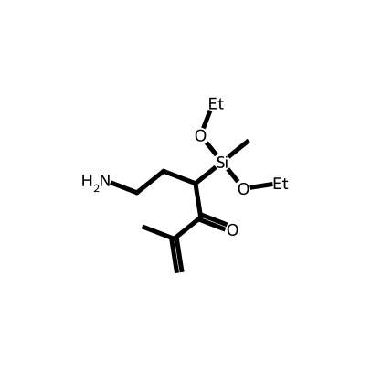 C=C(C)C(=O)C(CCN)[Si](C)(OCC)OCC